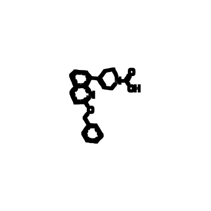 O=C(O)N1CC=C(c2cccc3ccc(OCc4ccccc4)nc23)CC1